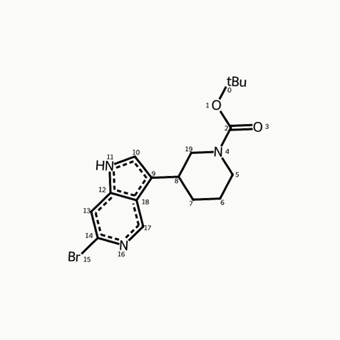 CC(C)(C)OC(=O)N1CCCC(c2c[nH]c3cc(Br)ncc23)C1